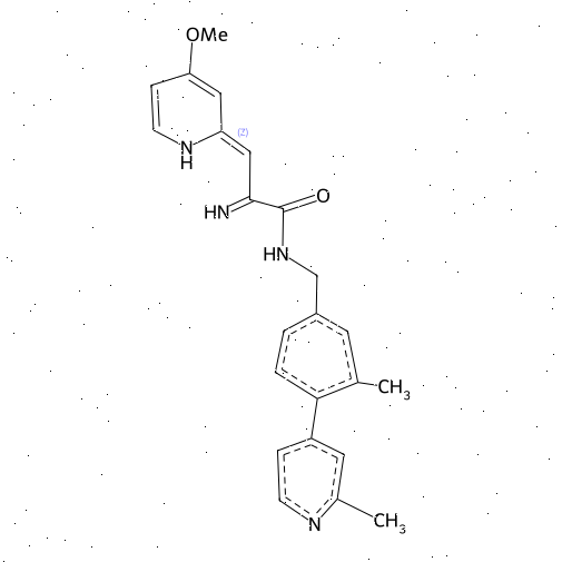 COC1=C/C(=C/C(=N)C(=O)NCc2ccc(-c3ccnc(C)c3)c(C)c2)NC=C1